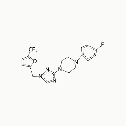 Fc1ccc(N2CCN(c3ncn(Cc4ccc(C(F)(F)F)o4)n3)CC2)cc1